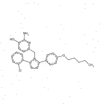 CCCCCOc1ccc(-c2ccc(-c3ccccc3Cl)n2Cc2ccc(O)c(N)n2)cc1